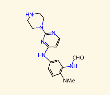 CNc1ccc(Nc2ccnc(N3CCNCC3)n2)cc1NC=O